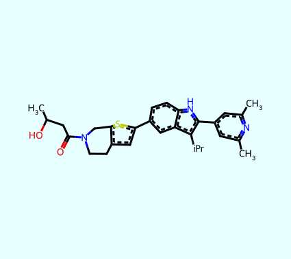 Cc1cc(-c2[nH]c3ccc(-c4cc5c(s4)CN(C(=O)CC(C)O)CC5)cc3c2C(C)C)cc(C)n1